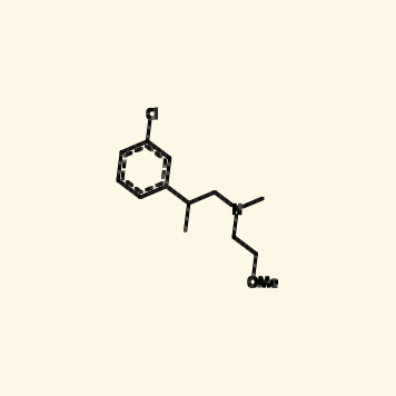 COCCN(C)CC(C)c1cccc(Cl)c1